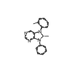 Cc1ccccc1N1c2cncnc2N(c2ccccc2)[C@@H]1C